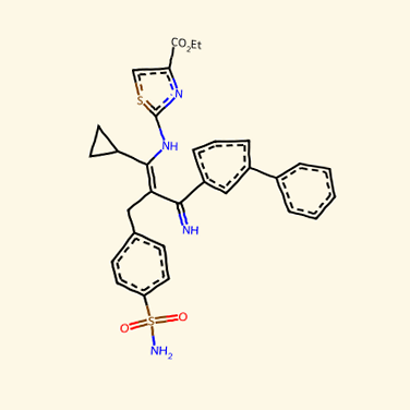 CCOC(=O)c1csc(N/C(=C(/Cc2ccc(S(N)(=O)=O)cc2)C(=N)c2cccc(-c3ccccc3)c2)C2CC2)n1